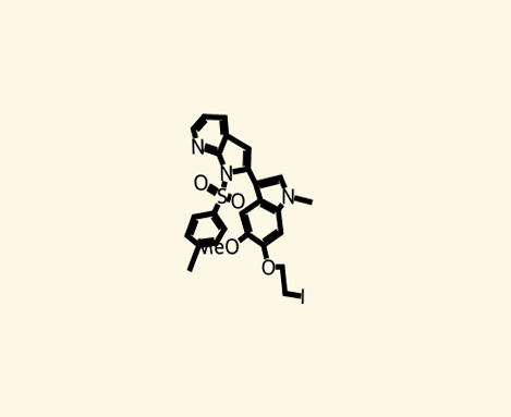 COc1cc2c(-c3cc4cccnc4n3S(=O)(=O)c3ccc(C)cc3)cn(C)c2cc1OCCI